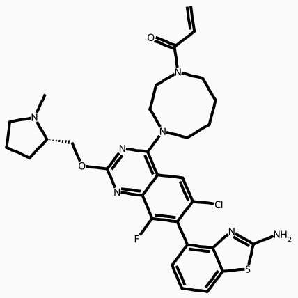 C=CC(=O)N1CCCCN(c2nc(OC[C@@H]3CCCN3C)nc3c(F)c(-c4cccc5sc(N)nc45)c(Cl)cc23)CC1